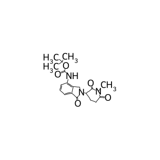 CN1C(=O)CCC(N2Cc3c(NC(=O)OC(C)(C)C)cccc3C2=O)C1=O